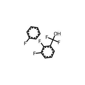 Fc1ccccc1.OC(F)(F)c1cccc(F)c1F